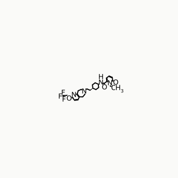 CCn1c(C(=O)N[C@H]2CC[C@H](CCN3CCc4ccc(OCC(F)(F)F)nc4CC3)CC2)cccc1=O